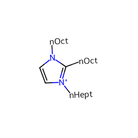 CCCCCCCCc1n(CCCCCCCC)cc[n+]1CCCCCCC